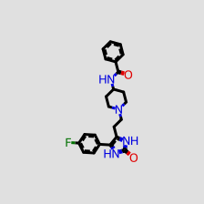 O=C(NC1CCN(CCc2[nH]c(=O)[nH]c2-c2ccc(F)cc2)CC1)c1ccccc1